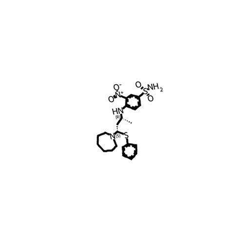 C[C@H](C[C@H](Sc1ccccc1)N1CCCCCC1)Nc1ccc(S(N)(=O)=O)cc1[N+](=O)[O-]